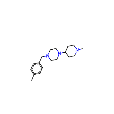 Cc1ccc(CN2CCN(C3CCN(C)CC3)CC2)cc1